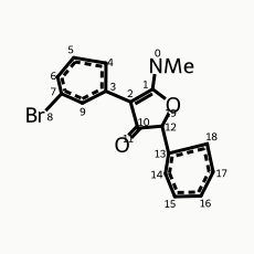 CNC1=C(c2cccc(Br)c2)C(=O)C(c2ccccc2)O1